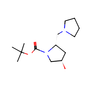 CC(C)(C)OC(=O)N1C[C@H](O)C[C@H]1CN1CCCC1